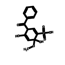 COC1(O)C=C(O)C(C(=O)c2ccccc2)C=C1S(=O)(=O)O